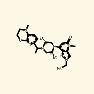 CC[C@H]1CN(C(C)c2ccc3c(n2)OCCN3C)[C@H](CC)CN1c1cc(=O)n(C)c2cn(CC#N)nc12